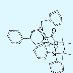 CC(C)(C)OC(=O)N1C2CC3(c4ccccc4)CC1[C@H](O[Si](c1ccccc1)(c1ccccc1)C(C)(C)C)C2N(Cc1ccccc1)C3